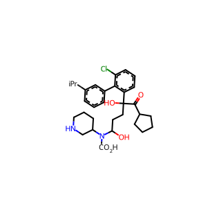 CC(C)c1cccc(-c2c(Cl)cccc2C(O)(CCC(O)N(C(=O)O)C2CCCNC2)C(=O)C2CCCC2)c1